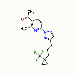 CC(=O)c1ccc(-n2ccc(CCCC3(C(F)(F)F)CC3)n2)nc1C